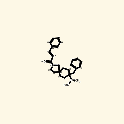 CN(C)C1(Cc2ccccc2)CCC2(CCN(C(=O)/C=C/c3ccccc3)C2)CC1